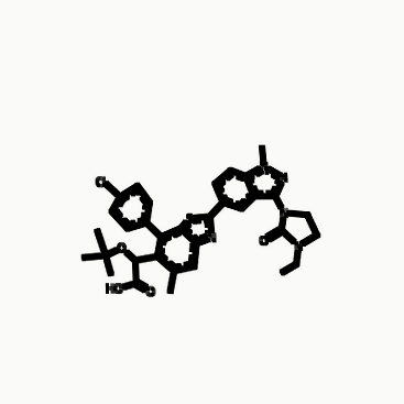 CCN1CCN(c2nn(C)c3ccc(-c4nc5cc(C)c(C(OC(C)(C)C)C(=O)O)c(-c6ccc(Cl)cc6)c5s4)cc23)C1=O